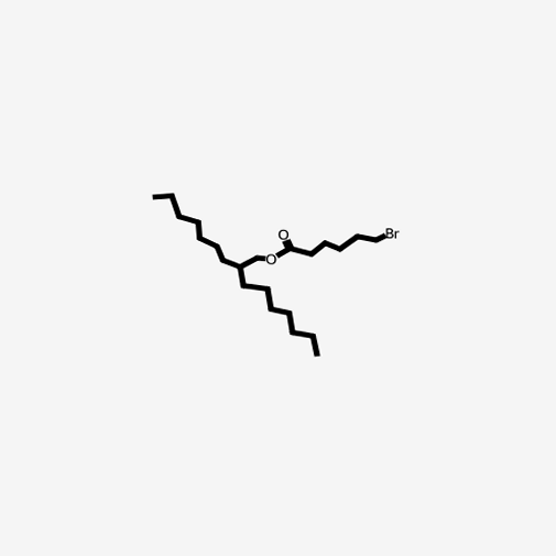 CCCCCCCC(CCCCCCC)COC(=O)CCCCCBr